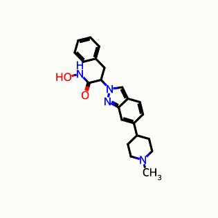 CN1CCC(c2ccc3cn(C(Cc4ccccc4)C(=O)NO)nc3c2)CC1